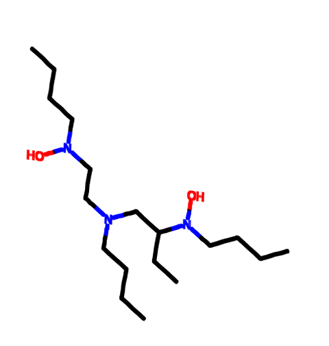 CCCCN(O)CCN(CCCC)CC(CC)N(O)CCCC